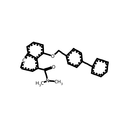 CN(C)C(=O)c1cccc2cccc(OCc3ccc(-c4ccccc4)cc3)c12